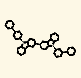 C1=c2c(n(-c3cccc(-c4ccccc4)c3)c3ccccc23)=CCC1c1ccc2c(c1)c1ccccc1n2-c1ccc(-c2ccccc2)cc1